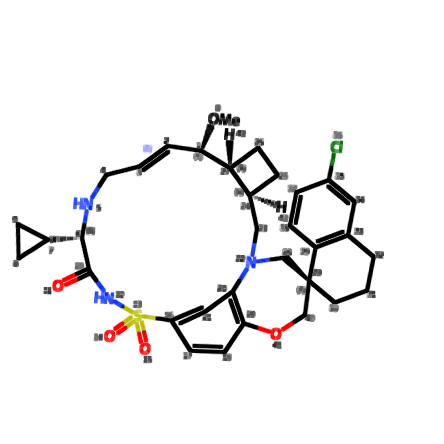 CO[C@@H]1/C=C/CN[C@@H](C2CC2)C(=O)NS(=O)(=O)c2ccc3c(c2)N(C[C@@H]2CC[C@H]21)C[C@@]1(CCCc2cc(Cl)ccc21)CO3